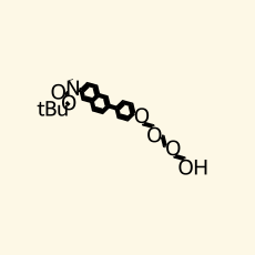 CN(C(=O)OC(C)(C)C)c1ccc2cc(-c3ccc(OCCOCCOCCO)cc3)ccc2c1